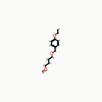 CCOc1ccc(COCCCCOC)cc1